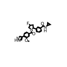 COc1cc(C(=O)N2CC(F)CC2c2cccc(C(=O)NC3CC3)c2)ccc1-c1cn[nH]c1